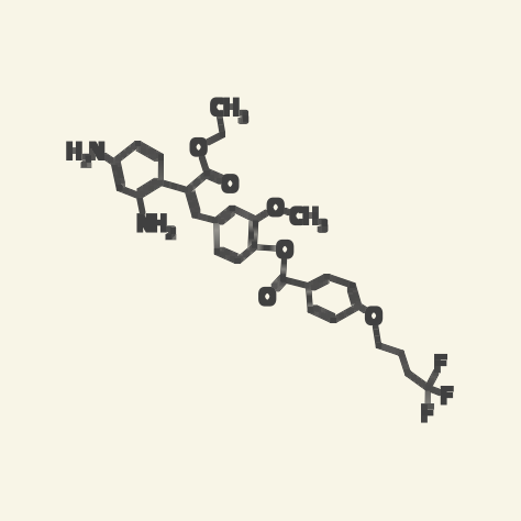 CCOC(=O)C(=Cc1ccc(OC(=O)c2ccc(OCCCC(F)(F)F)cc2)c(OC)c1)c1ccc(N)cc1N